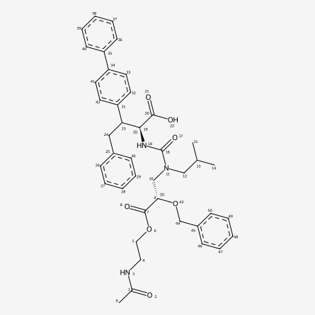 CC(=O)NCCOC(=O)[C@H](CN(CC(C)C)C(=O)N[C@H](C(=O)O)C(Cc1ccccc1)c1ccc(-c2ccccc2)cc1)OCc1ccccc1